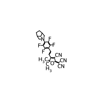 CC1(C)OC(=C(C#N)C#N)C(C#N)=C1C=Cc1c(F)c(F)c(N2CC3CCC(C3)C2)c(F)c1F